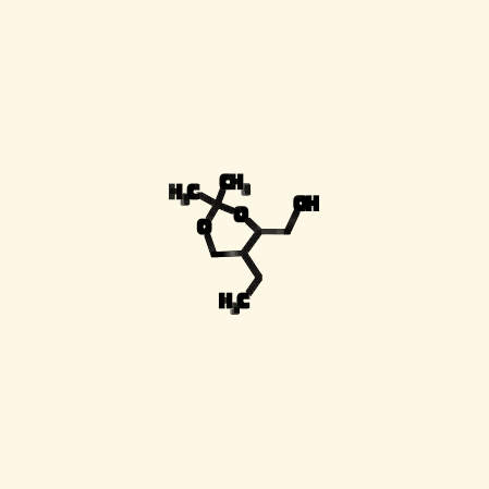 CCC1COC(C)(C)OC1CO